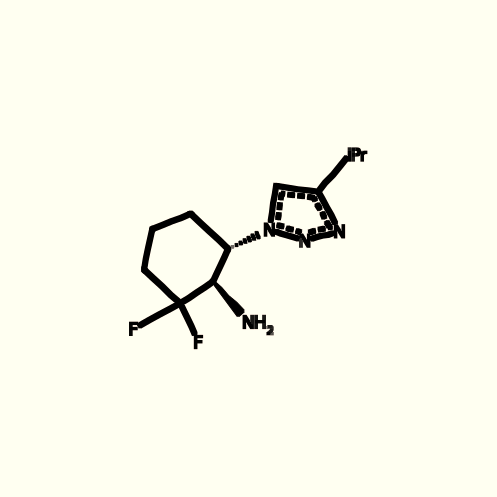 CC(C)c1cn([C@H]2CCCC(F)(F)[C@@H]2N)nn1